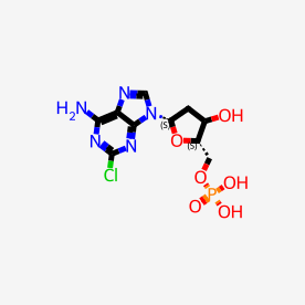 Nc1nc(Cl)nc2c1ncn2[C@@H]1CC(O)[C@H](COP(=O)(O)O)O1